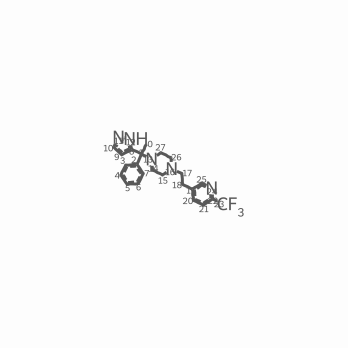 CC(c1ccccc1)(c1ccn[nH]1)N1CCN(CCc2ccc(C(F)(F)F)nc2)CC1